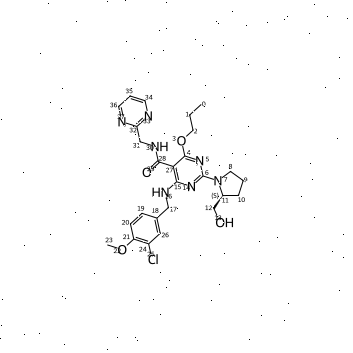 CCCOc1nc(N2CCC[C@H]2CO)nc(NCc2ccc(OC)c(Cl)c2)c1C(=O)NCc1ncccn1